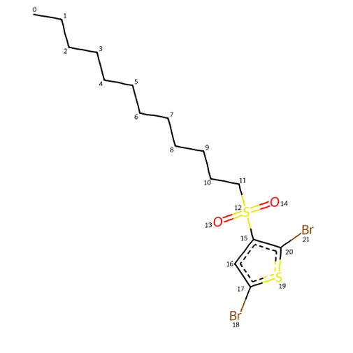 CCCCCCCCCCCCS(=O)(=O)c1cc(Br)sc1Br